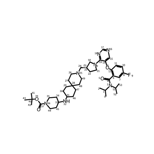 CC(C)N(C(=O)c1cc(F)ccc1Oc1cncnc1N1CC[C@@H](CN2CCC3(CCC(NC4CCN(C(=O)OC(C)(C)C)CC4)CC3)CC2)C1)C(C)C